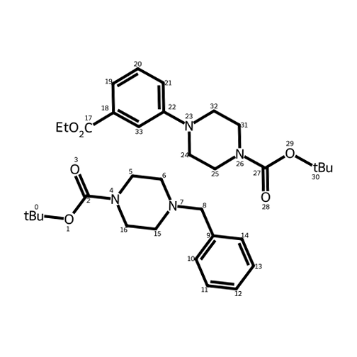 CC(C)(C)OC(=O)N1CCN(Cc2ccccc2)CC1.CCOC(=O)c1cccc(N2CCN(C(=O)OC(C)(C)C)CC2)c1